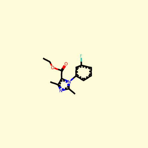 CCOC(=O)c1c(C)nc(C)n1-c1cccc(F)c1